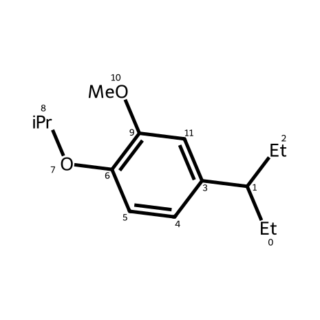 CCC(CC)c1ccc(OC(C)C)c(OC)c1